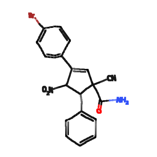 N#CC1(C(N)=O)C=C(c2ccc(Br)cc2)C([N+](=O)[O-])C1c1ccccc1